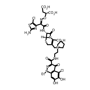 CCn1nc(C(=O)NCC[N+]2(CC3=C(C(=O)O)N4C(=O)[C@@H](NC(=O)/C(=N\O[C@@H](CC(=O)O)C(=O)O)c5nc(N)sc5Cl)[C@H]4SC3)CCCC2)c(=O)c2c(Cl)c(O)c(O)cc21